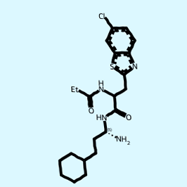 CCC(=O)NC(Cc1nc2ccc(Cl)cc2s1)C(=O)N[C@H](N)CCC1CCCCC1